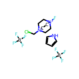 F[B-](F)(F)F.F[B-](F)(F)F.F[N+]12CC[N+](CCl)(CC1)CC2.c1cc[nH]c1